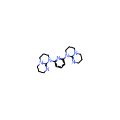 c1cc(N2CCCN3CCCN=C32)nc(N2CCCN3CCCN=C32)c1